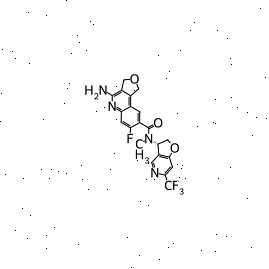 CN(C(=O)c1cc2c3c(c(N)nc2cc1F)COC3)[C@@H]1COc2cc(C(F)(F)F)ncc21